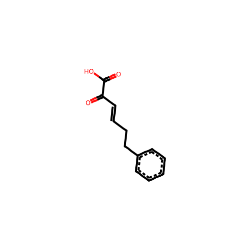 O=C(O)C(=O)C=CCCc1ccccc1